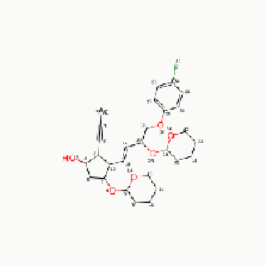 CC(=O)C#CC1C(O)CC(OC2CCCCO2)C1C=CC(COc1ccc(F)cc1)OC1CCCCO1